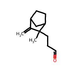 C=C1C2CCC(C2)C1(C)CCC=O